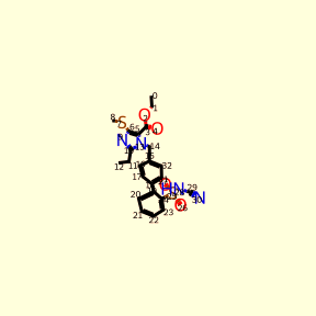 CCOC(=O)c1c(SC)nc(CC)n1Cc1ccc(-c2ccccc2S(=O)(=O)NC#N)cc1